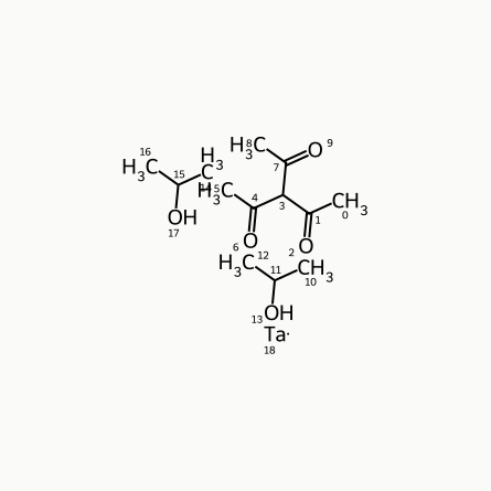 CC(=O)C(C(C)=O)C(C)=O.CC(C)O.CC(C)O.[Ta]